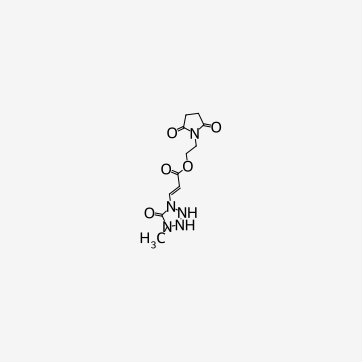 CN1NNN(/C=C/C(=O)OCCN2C(=O)CCC2=O)C1=O